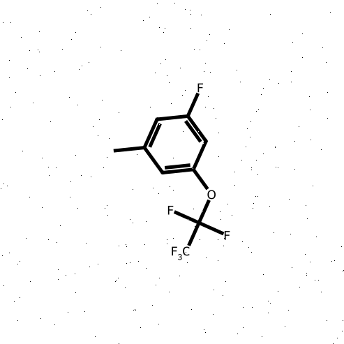 Cc1cc(F)cc(OC(F)(F)C(F)(F)F)c1